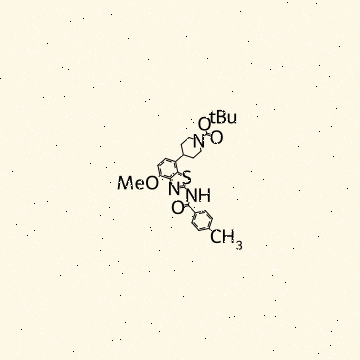 COc1ccc(C2CCN(C(=O)OC(C)(C)C)CC2)c2sc(NC(=O)c3ccc(C)cc3)nc12